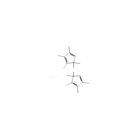 CC1=C[C](C)([Ti+2][C]2(C)C=C(C)C(C)=C2C)C(C)=C1C.[Cl-].[Cl-]